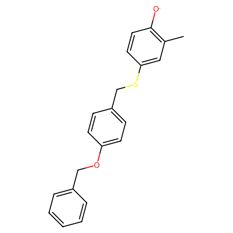 Cc1cc(SCc2ccc(OCc3ccccc3)cc2)ccc1[O]